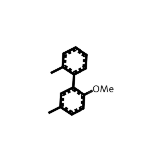 COc1ccc(C)cc1-c1ccccc1C